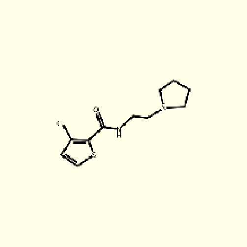 O=C(NCCN1CCCC1)c1sccc1Cl